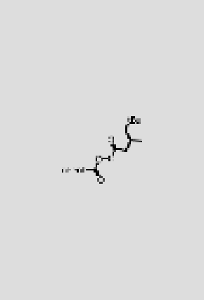 CCCCCC(=O)OOC(=O)CC(C)CC(C)(C)C